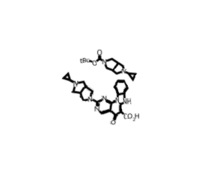 CC(C)(C)OC(=O)N1CC2CN(C3CC3)CC2C1.O=C(O)c1c(=O)c2cnc(N3CC4CN(C5CC5)CC4C3)nc2n2c1[nH]c1ccccc12